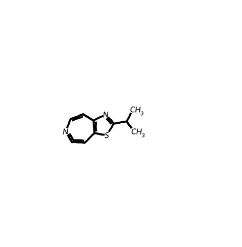 CC(C)c1nc2c(s1)C=C=NC=C2